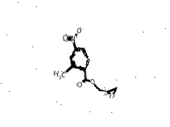 Cc1cc([N+](=O)[O-])ccc1C(=O)OC[C@H]1CO1